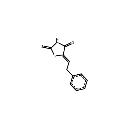 O=C1NC(=S)S/C1=C\Cc1ccccc1